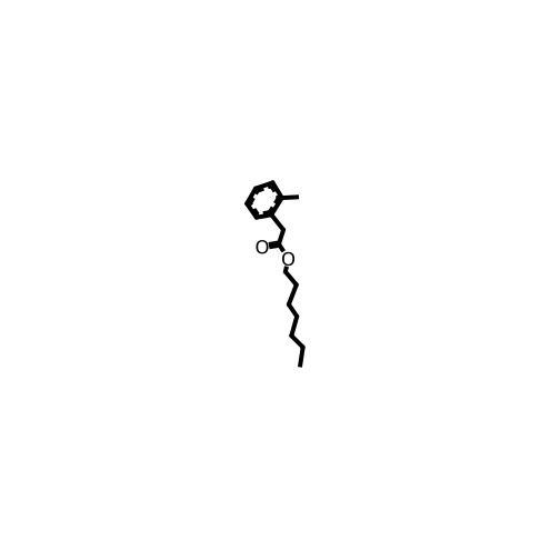 CCCCCCCOC(=O)Cc1ccccc1C